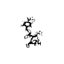 CCSC1=C(C(=O)OCc2ccc([N+](=O)[O-])cc2)N2C(=O)C[C@H]2S1